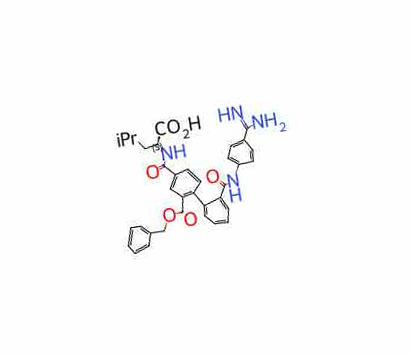 CC(C)C[C@H](NC(=O)c1ccc(-c2ccccc2C(=O)Nc2ccc(C(=N)N)cc2)c(C(=O)OCc2ccccc2)c1)C(=O)O